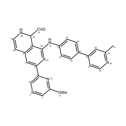 COc1cncc(-c2cc3c(c(Nc4ccc(-c5ccnc(C)c5)cc4)n2)C(C=O)NC=C3)n1